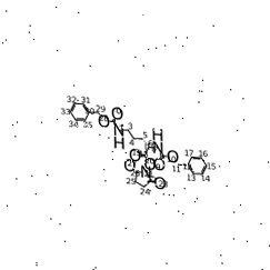 O=C(NCCC[C@H](NC(=O)OCc1ccccc1)C(=O)ON1C(=O)CCC1=O)OCc1ccccc1